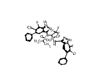 CC(C)S(=O)(=O)N(c1n[nH]c2c(F)c(Cl)c(-c3ccccc3)cc12)C(C(F)(F)F)S(=O)(=O)Nc1n[nH]c2c(F)c(Cl)c(-c3ccccc3)cc12